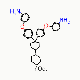 CCCCCCCC[C@H]1CC[C@@H](C2CCC(c3ccc(Oc4cccc(N)c4)cc3)(c3ccc(Oc4cccc(N)c4)cc3)CC2)CC1